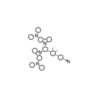 Cc1c(-c2ccc(C#N)cc2)ccc(-c2cc(-n3c4ccccc4c4cc(N(c5ccccc5)c5ccccc5)ccc43)cc(-n3c4ccccc4c4cc(N(c5ccccc5)c5ccccc5)ccc43)c2)c1C